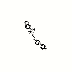 O=C(Nc1ccc2ncsc2c1)OCCCN1CCN(c2ccc(Cl)cc2)CC1